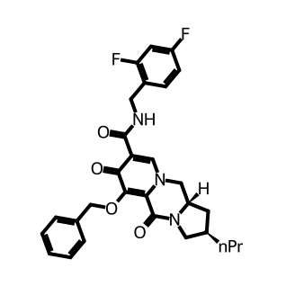 CCC[C@@H]1C[C@H]2Cn3cc(C(=O)NCc4ccc(F)cc4F)c(=O)c(OCc4ccccc4)c3C(=O)N2C1